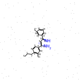 CCCc1ccc(/C(N)=C/C(=N)c2cccc(C)c2)cc1C